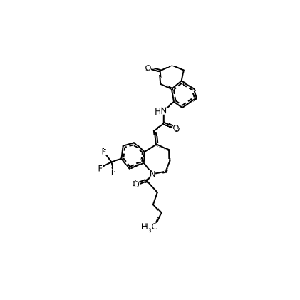 CCCCC(=O)N1CCCC(=CC(=O)Nc2cccc3c2CC(=O)CC3)c2ccc(C(F)(F)F)cc21